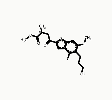 COC(=O)[C@@H](C)CC(=O)c1cc2c(F)c(CCCO)c(OC)cc2s1